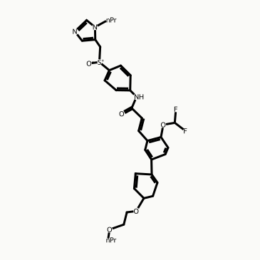 CCCOCCOC1C=CC(c2ccc(OC(F)F)c(/C=C/C(=O)Nc3ccc([S+]([O-])Cc4cncn4CCC)cc3)c2)=CC1